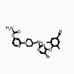 Cc1cc(C#N)cc(C)c1Oc1nc(NC2CCN(c3cc(OC(N)=O)ccn3)CC2)ncc1Br